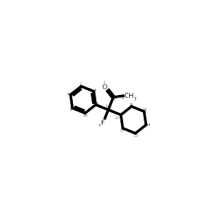 CC(=O)C(F)(c1ccccc1)C1CCCCC1